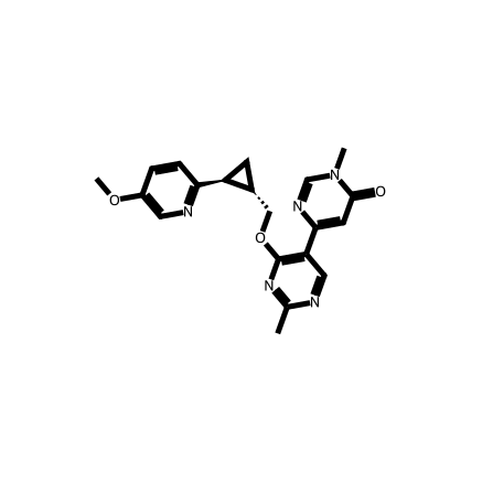 COc1ccc([C@H]2C[C@@H]2COc2nc(C)ncc2-c2cc(=O)n(C)cn2)nc1